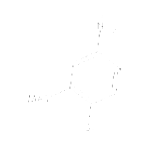 CSc1cc(N)ncc1Br